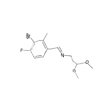 COC(CN=Cc1ccc(F)c(Br)c1C)OC